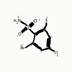 NS(=O)(=O)c1c(F)cc(Cl)cc1Br